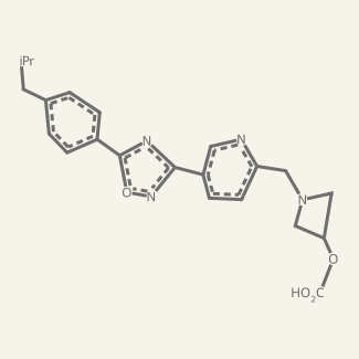 CC(C)Cc1ccc(-c2nc(-c3ccc(CN4CC(OC(=O)O)C4)nc3)no2)cc1